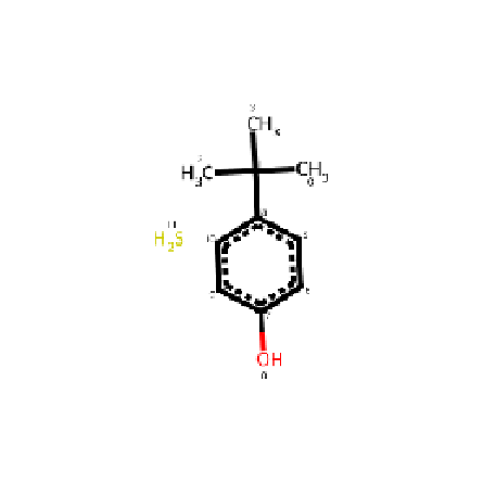 CC(C)(C)c1ccc(O)cc1.S